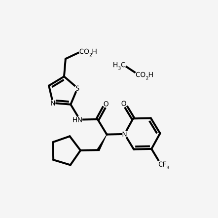 CC(=O)O.O=C(O)Cc1cnc(NC(=O)[C@H](CC2CCCC2)n2cc(C(F)(F)F)ccc2=O)s1